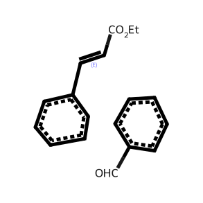 CCOC(=O)/C=C/c1ccccc1.O=Cc1ccccc1